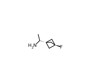 CC(N)[C@]12C[C@@](F)(C1)C2